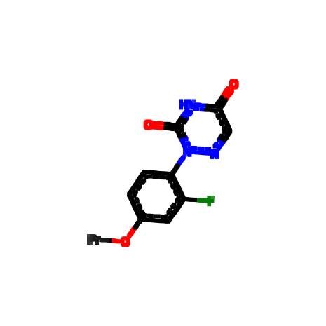 CC(C)Oc1ccc(-n2ncc(=O)[nH]c2=O)c(F)c1